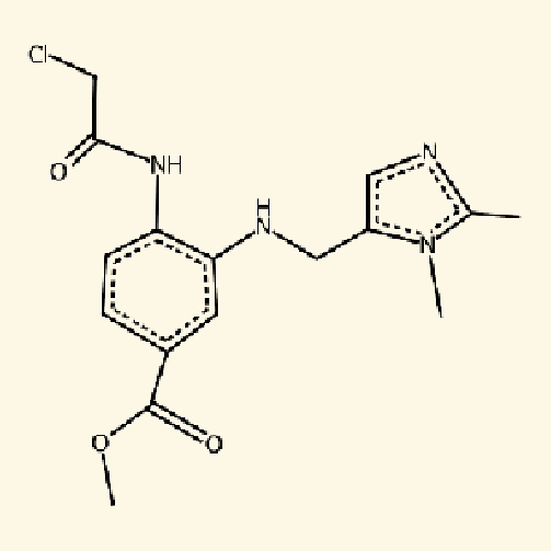 COC(=O)c1ccc(NC(=O)CCl)c(NCc2cnc(C)n2C)c1